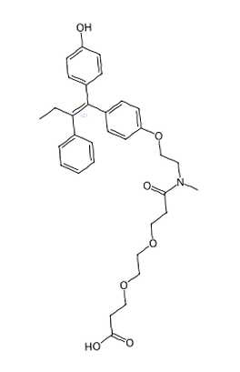 CC/C(=C(\c1ccc(O)cc1)c1ccc(OCCN(C)C(=O)CCOCCOCCC(=O)O)cc1)c1ccccc1